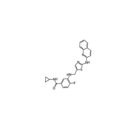 O=C(NC1CC1)c1ccc(F)c(NCc2cnc(Nc3ccc4ccccc4n3)s2)c1